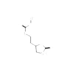 CC(C)(C)OC(=O)NCCC1CNC(=O)O1